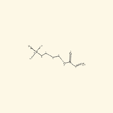 C=CC(=O)OCCCC[Si](I)(I)I